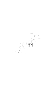 COc1ccnc(C(=O)Nc2nc3ccc(Sc4ccccc4C)nc3s2)c1O